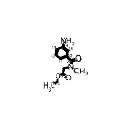 CCOC(=O)CN(C)C(=O)c1cccc(N)c1